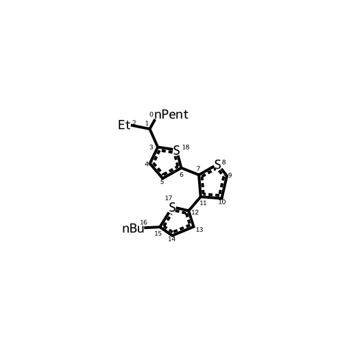 CCCCCC(CC)c1ccc(-c2sccc2-c2ccc(CCCC)s2)s1